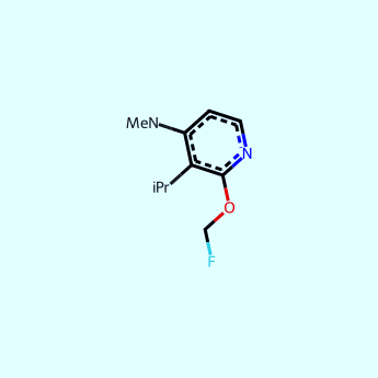 CNc1ccnc(OCF)c1C(C)C